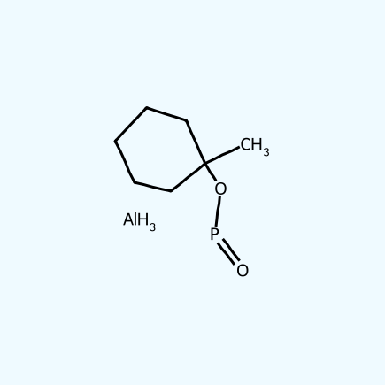 CC1(OP=O)CCCCC1.[AlH3]